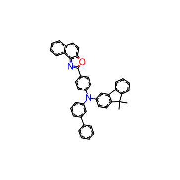 CC1(C)c2ccccc2-c2cc(N(c3ccc(-c4nc5c(ccc6ccccc65)o4)cc3)c3cccc(-c4ccccc4)c3)ccc21